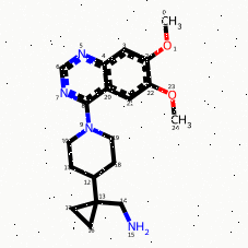 COc1cc2ncnc(N3CCC(C4(CN)CC4)CC3)c2cc1OC